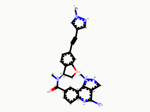 CC(C)n1cc(C#Cc2ccc3c(c2)OC[C@H]3N(C)C(=O)c2ccc3nc(N)c4cnn(C)c4c3c2)cn1